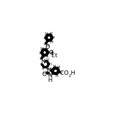 CCOc1cc(CN2CCC(n3c(=O)[nH]c4cc(C(=O)O)ccc43)CC2)ccc1OCc1ccccc1